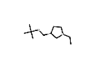 CCN1CC[C@H](COC(C)(C)C)C1